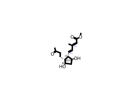 COC(=O)/C=C(C)/C=C/[C@H]1[C@@H](CCC(C)=O)[C@H](O)C[C@@H]1O